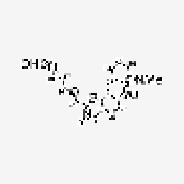 CNC1=C(C(=O)c2ccc(CN(C)C(=O)COCCCOC=O)cc2)CCCC1